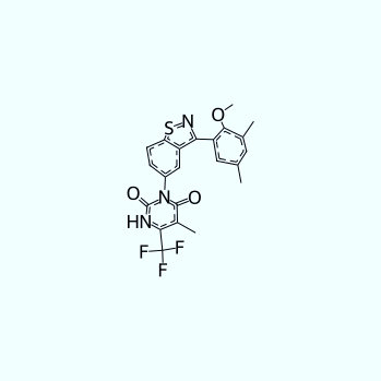 COc1c(C)cc(C)cc1-c1nsc2ccc(-n3c(=O)[nH]c(C(F)(F)F)c(C)c3=O)cc12